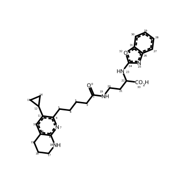 O=C(CCCCc1nc2c(cc1C1CC1)CCCN2)NCCC(Nc1nc2ccccc2o1)C(=O)O